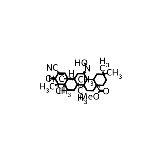 COC(=O)[C@]12CCC(C)(C)CC1C1C(=NO)C[C@@H]3[C@@]4(C)C=C(C#N)C(=O)C(C)(C)[C@@H]4CC[C@@]3(C)[C@]1(C)CC2